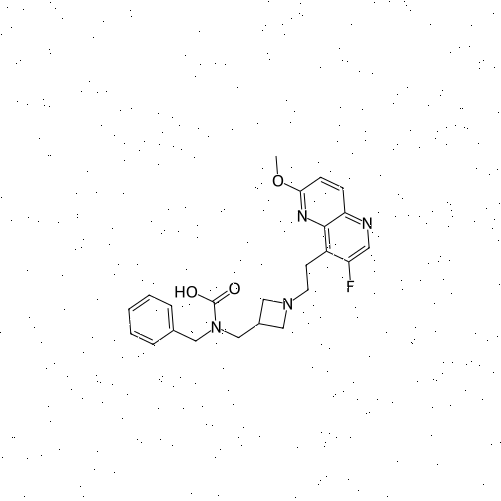 COc1ccc2ncc(F)c(CCN3CC(CN(Cc4ccccc4)C(=O)O)C3)c2n1